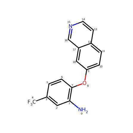 Nc1cc(C(F)(F)F)ccc1Oc1ccc2ccncc2c1